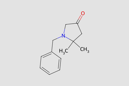 CC1(C)CC(=O)CN1Cc1ccccc1